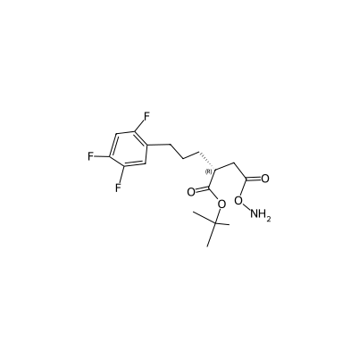 CC(C)(C)OC(=O)[C@H](CCCc1cc(F)c(F)cc1F)CC(=O)ON